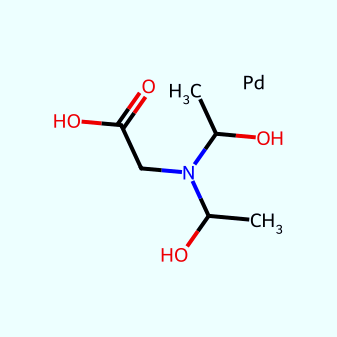 CC(O)N(CC(=O)O)C(C)O.[Pd]